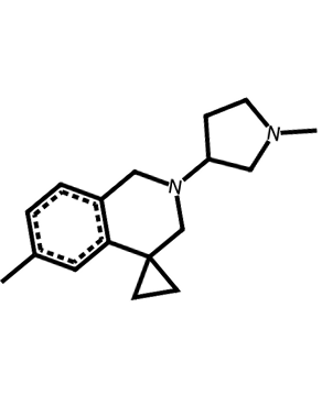 Cc1ccc2c(c1)C1(CC1)CN(C1CCN(C)C1)C2